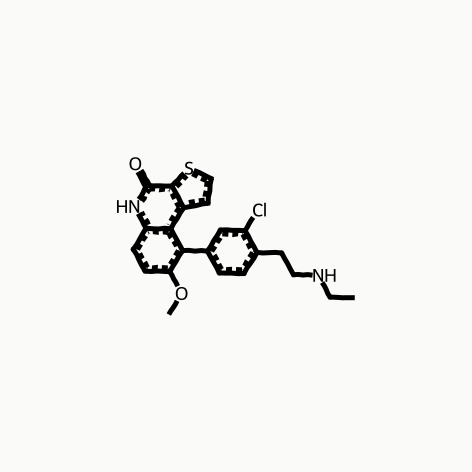 CCNCCc1ccc(-c2c(OC)ccc3[nH]c(=O)c4sccc4c23)cc1Cl